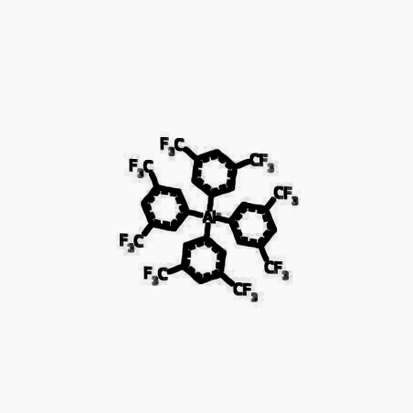 FC(F)(F)c1cc(C(F)(F)F)c[c]([Al-]([c]2cc(C(F)(F)F)cc(C(F)(F)F)c2)([c]2cc(C(F)(F)F)cc(C(F)(F)F)c2)[c]2cc(C(F)(F)F)cc(C(F)(F)F)c2)c1